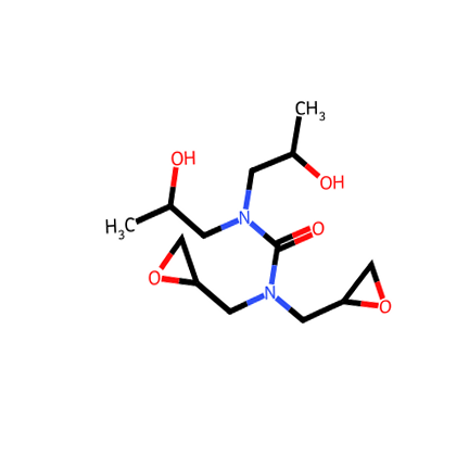 CC(O)CN(CC(C)O)C(=O)N(CC1CO1)CC1CO1